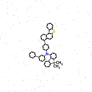 CC1(C)c2ccccc2-c2c(N(c3ccc(-c4cccc5c4ccc4sc6ccccc6c45)cc3)c3cccc(-c4ccccc4)c3)cccc21